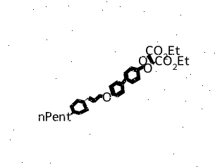 CCCCC[C@H]1CC[C@H](/C=C/COc2ccc(-c3ccc(C4O[C@@H](C(=O)OCC)[C@H](C(=O)OCC)O4)cc3)cc2)CC1